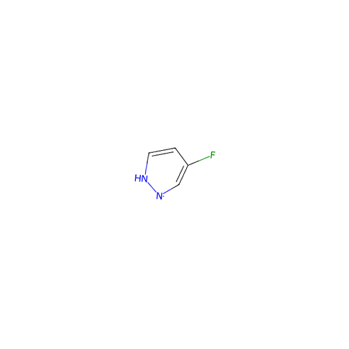 FC1=C[N]NC=C1